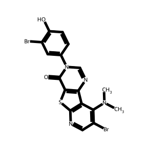 CN(C)c1c(Br)cnc2sc3c(=O)n(-c4ccc(O)c(Br)c4)cnc3c12